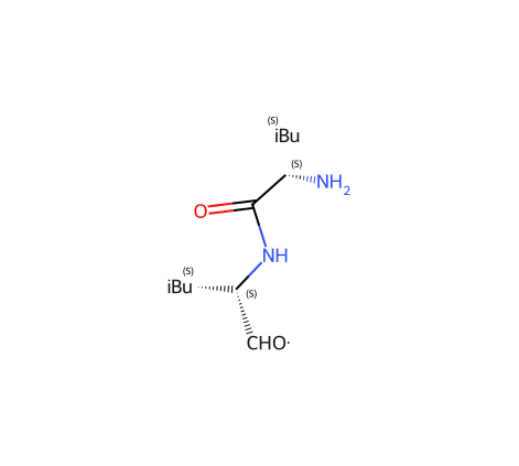 CC[C@H](C)[C@H](N)C(=O)N[C@H]([C]=O)[C@@H](C)CC